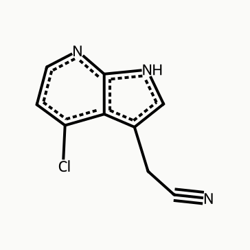 N#CCc1c[nH]c2nccc(Cl)c12